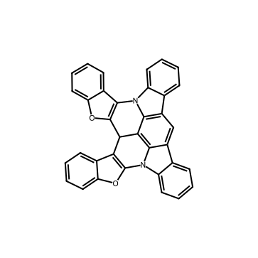 c1ccc2c3c(oc2c1)-n1c2ccccc2c2cc4c5ccccc5n5c4c(c21)C3c1oc2ccccc2c1-5